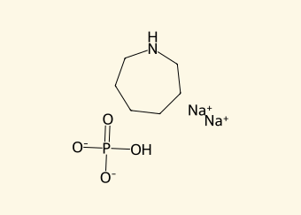 C1CCCNCC1.O=P([O-])([O-])O.[Na+].[Na+]